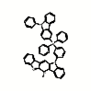 C[C@@H]1c2c(n(-c3cccc([Si](c4ccccc4)(c4ccccc4)c4ccc5c(c4)c4ccccc4n5-c4ccccc4)c3)c3ccccc23)C=C2c3ccccc3OC21